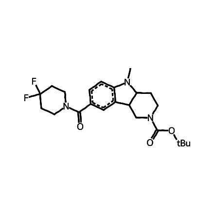 CN1c2ccc(C(=O)N3CCC(F)(F)CC3)cc2C2CN(C(=O)OC(C)(C)C)CCC21